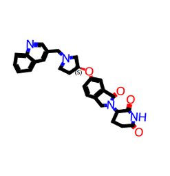 O=C1CCC(N2Cc3ccc(O[C@H]4CCN(Cc5cnc6ccccc6c5)C4)cc3C2=O)C(=O)N1